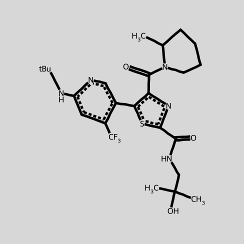 CC1CCCCN1C(=O)c1nc(C(=O)NCC(C)(C)O)sc1-c1cnc(NC(C)(C)C)cc1C(F)(F)F